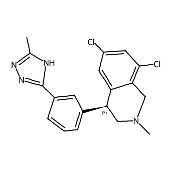 Cc1nnc(-c2cccc([C@@H]3CN(C)Cc4c(Cl)cc(Cl)cc43)c2)[nH]1